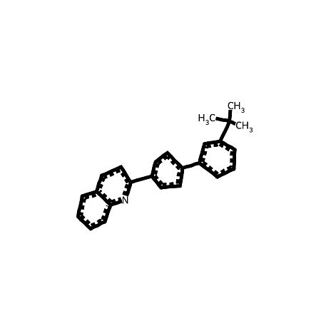 CC(C)(C)c1cccc(-c2ccc(-c3ccc4ccccc4n3)cc2)c1